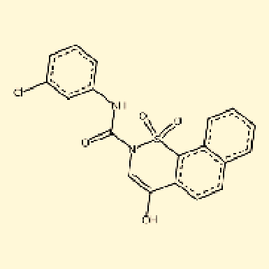 O=C(Nc1cccc(Cl)c1)N1C=C(O)c2ccc3ccccc3c2S1(=O)=O